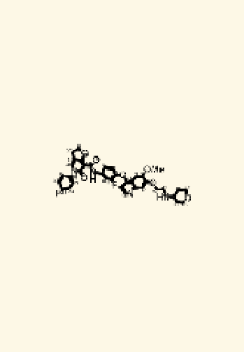 COc1cc2c(Oc3ccc(NC(=O)c4c5c(cn(-c6ccc(F)cc6)c4=O)CCO5)cc3F)ccnc2cc1OCCNC1CCOCC1